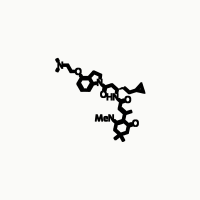 CNC1=C(/C(C)=C/C(=O)N[C@@H](CCC2CC2)CC(=O)N2CCc3c(OCCN(C)C)cccc32)C(=O)CC(C)(C)C1